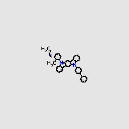 C=C/C=C\c1cccc(-n2c3ccccc3c3cc4c(cc32)c2ccccc2n4-c2ccc(-c3ccccc3)cc2)c1C